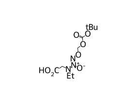 CCN(CC(=O)O)/[N+]([O-])=N/OCOC(=O)OC(C)(C)C